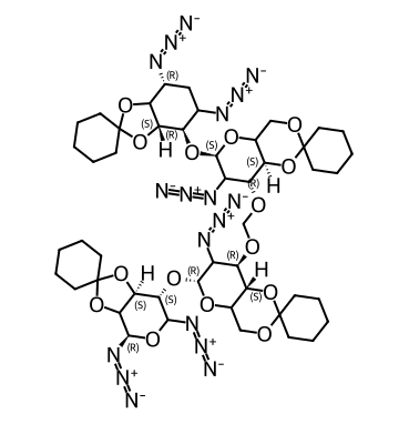 [N-]=[N+]=NC1C[C@@H](N=[N+]=[N-])C2OC3(CCCCC3)O[C@H]2[C@@H]1O[C@H]1OC2COC3(CCCCC3)O[C@H]2[C@H](OCO[C@@H]2C(N=[N+]=[N-])[C@@H](O[C@@H]3C(N=[N+]=[N-])O[C@@H](N=[N+]=[N-])C4OC5(CCCCC5)O[C@H]43)OC3COC4(CCCCC4)O[C@H]32)C1N=[N+]=[N-]